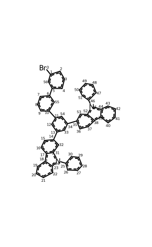 Brc1cccc(-c2cccc(-c3cc(-c4ccc5c6ccccc6n(-c6ccccc6)c5c4)cc(-c4ccc5c6ccccc6n(-c6ccccc6)c5c4)c3)c2)c1